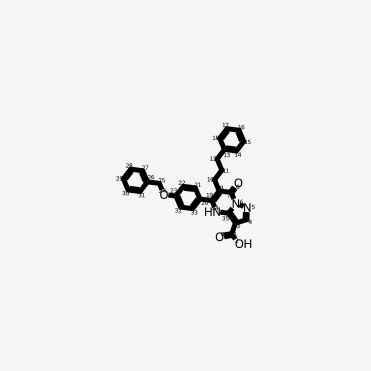 O=C(O)c1cnn2c(=O)c(CCCc3ccccc3)c(-c3ccc(OCc4ccccc4)cc3)[nH]c12